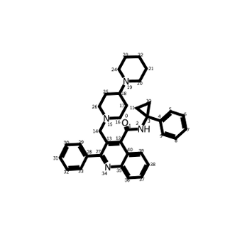 O=C(NC1(c2ccccc2)CC1)c1c(CN2CCC(N3CCCCC3)CC2)c(-c2ccccc2)nc2ccccc12